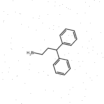 [BiH2][CH2]CC(c1ccccc1)c1ccccc1